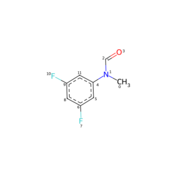 CN([C]=O)c1cc(F)cc(F)c1